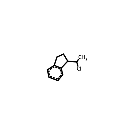 CC(Cl)C1CCc2ccccc21